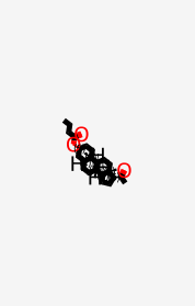 CCCC(=O)O[C@H]1CC[C@@]2(C)[C@H](CC[C@@H]3[C@@H]2CC[C@]2(C)[C@@H](C(C)=O)CC[C@@H]32)C1